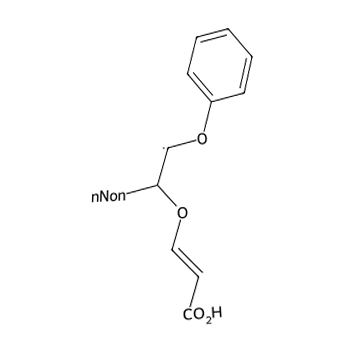 CCCCCCCCCC([CH]Oc1ccccc1)OC=CC(=O)O